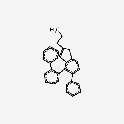 CCCC1=Cc2c(ccc(-c3ccccc3)c2-c2ccccc2-c2ccccc2)[CH]1